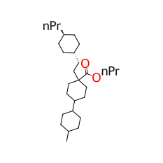 CCCOC(=O)C1(CC[C@H]2CC[C@H](CCC)CC2)CCC(C2CCC(C)CC2)CC1